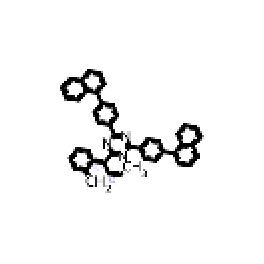 C=c1cccc/c1=C(/C=C\C)c1nc(-c2ccc(-c3cccc4ccccc34)cc2)nc(-c2ccc(-c3cccc4ccccc34)cc2)n1